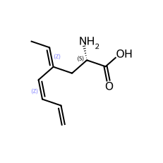 C=C/C=C\C(=C/C)C[C@H](N)C(=O)O